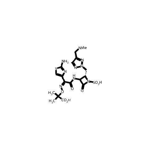 CNCc1cnn(C[C@H]2C(NC(=O)/C(=N\OC(C)(C)C(=O)O)c3csc(N)n3)C(=O)N2S(=O)(=O)O)n1